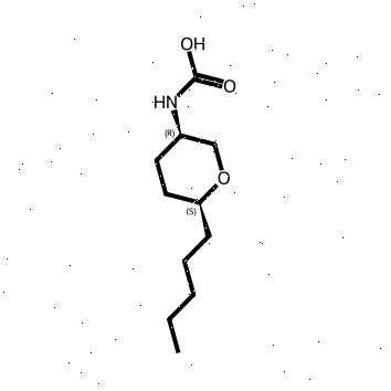 CCCCC[C@H]1CC[C@@H](NC(=O)O)CO1